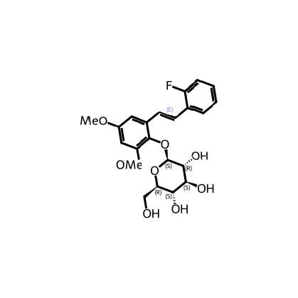 COc1cc(/C=C/c2ccccc2F)c(O[C@@H]2O[C@H](CO)[C@@H](O)[C@H](O)[C@H]2O)c(OC)c1